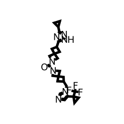 O=C(N1CC2(CC(Cn3cncc3C3(C(F)(F)F)CC3)C2)C1)N1CC2(CC(c3nc(C4CC4)n[nH]3)C2)C1